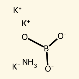 N.[K+].[K+].[K+].[O-]B([O-])[O-]